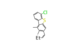 CC/C=C\c1cc2sc3c(Cl)cccc3c2c(C)c1C